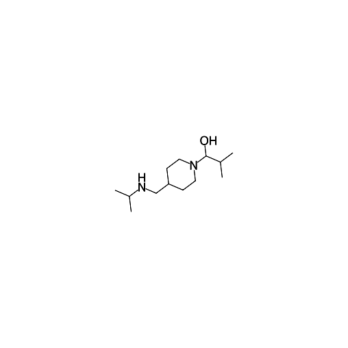 CC(C)NCC1CCN(C(O)C(C)C)CC1